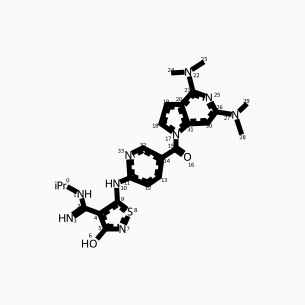 CC(C)NC(=N)c1c(O)nsc1Nc1ccc(C(=O)n2ccc3c(N(C)C)nc(N(C)C)cc32)cn1